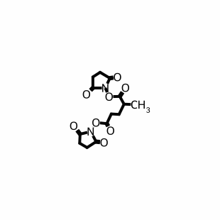 CC(CCC(=O)ON1C(=O)CCC1=O)C(=O)ON1C(=O)CCC1=O